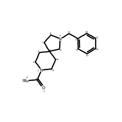 CC(C)(C)C(=O)N1CCC2(CCN(Cc3ccccc3)C2)CC1